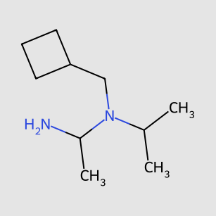 CC(C)N(CC1CCC1)C(C)N